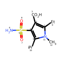 CCc1c(C(=O)O)c(S(N)(=O)=O)c(C(C)C)n1C